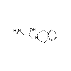 NCC(O)CN1CCc2ccccc2CC1